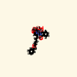 O=C1c2ccccc2C(=O)N1N1C(CCCCCOCc2ccccc2)CC(=O)[N+]1([O-])C(=O)O